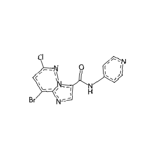 O=C(Nc1ccncc1)c1cnc2c(Br)cc(Cl)nn12